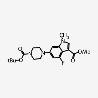 COC(=O)c1cn(C)c2cc(N3CCN(C(=O)OC(C)(C)C)CC3)cc(F)c12